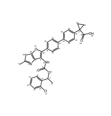 Cc1nc2c(NC(=O)OC(C)c3ccccc3Cl)c(-c3ccc(-c4ccc(C5(C(=O)O)CC5)cc4)cc3)oc2s1